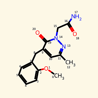 COc1ccccc1Cc1cc(C)nn(CC(N)=O)c1=O